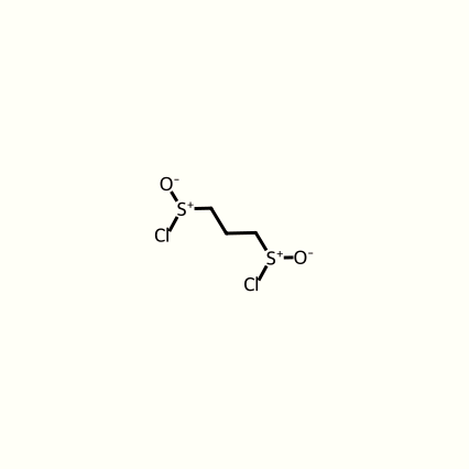 [O-][S+](Cl)CCC[S+]([O-])Cl